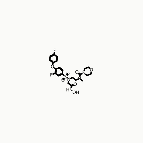 CN(CCN(CC(=O)NO)S(=O)(=O)c1ccc(Oc2ccc(F)cc2)c(F)c1)C(=O)N1CCOCC1